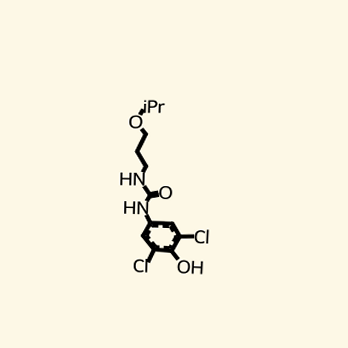 CC(C)OCCCNC(=O)Nc1cc(Cl)c(O)c(Cl)c1